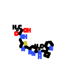 Cc1cccnc1C1(CNc2ccc(-c3ncc(CNC(=O)[C@@H](C)O)s3)nn2)CCC1